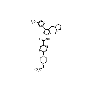 C[C@@H]1CCCN1Cc1sc(NC(=O)c2cnc(N3CCN(CC(=O)O)CC3)cn2)nc1-c1cc(C(F)(F)F)cs1